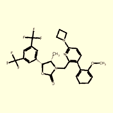 COC1=CCCC=C1c1ccc(N2CCC2)nc1CN1C(=O)O[C@H](c2cc(C(F)(F)F)cc(C(F)(F)F)c2)[C@@H]1C